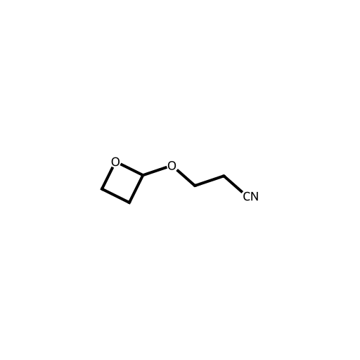 N#CCCOC1CCO1